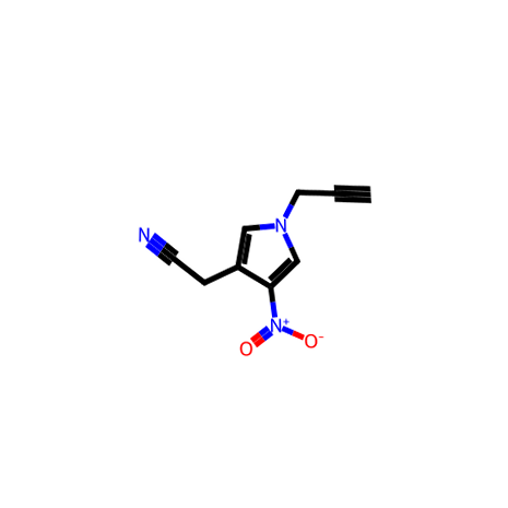 C#CCn1cc(CC#N)c([N+](=O)[O-])c1